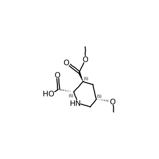 COC(=O)[C@H]1C[C@H](OC)CN[C@@H]1C(=O)O